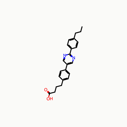 CCCc1ccc(-c2ncc(-c3ccc(CCCC(=O)O)cc3)cn2)cc1